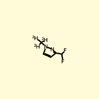 [2H]C([2H])([2H])n1ccc(C(F)F)n1